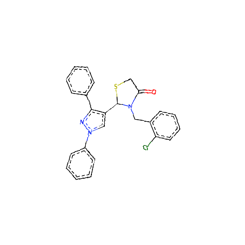 O=C1CSC(c2cn(-c3ccccc3)nc2-c2ccccc2)N1Cc1ccccc1Cl